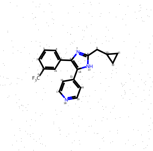 FC(F)(F)c1cccc(-c2nc(CC3CC3)[nH]c2-c2ccncc2)c1